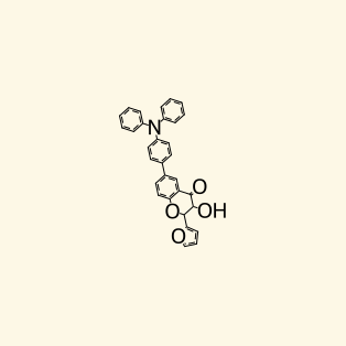 O=C1c2cc(-c3ccc(N(c4ccccc4)c4ccccc4)cc3)ccc2OC(c2ccco2)C1O